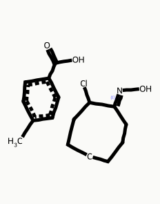 Cc1ccc(C(=O)O)cc1.O/N=C1\CCCCCCC1Cl